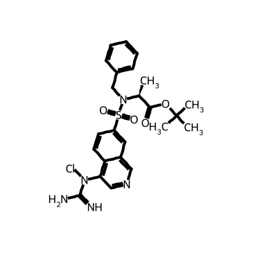 C[C@@H](C(=O)OC(C)(C)C)N(Cc1ccccc1)S(=O)(=O)c1ccc2c(N(Cl)C(=N)N)cncc2c1